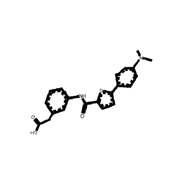 CN(C)c1ccc(-c2ccc(C(=O)Nc3cccc(CC(=O)O)c3)o2)cc1